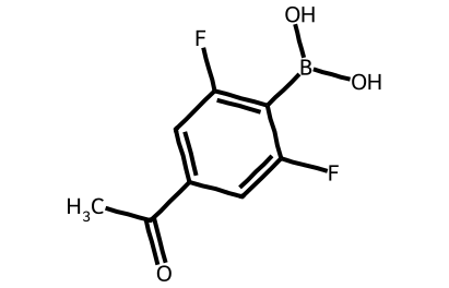 CC(=O)c1cc(F)c(B(O)O)c(F)c1